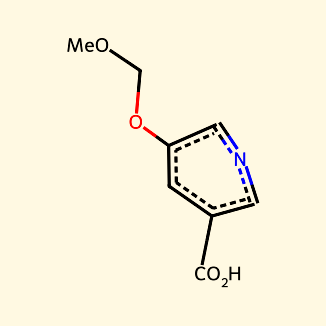 COCOc1cncc(C(=O)O)c1